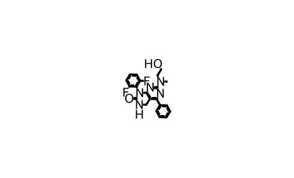 CN(CCO)c1nc(-c2ccccc2)c2c(n1)N(c1c(F)cccc1F)C(=O)NC2